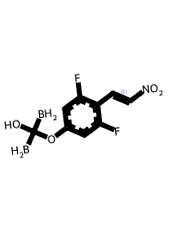 BC(B)(O)Oc1cc(F)c(/C=C/[N+](=O)[O-])c(F)c1